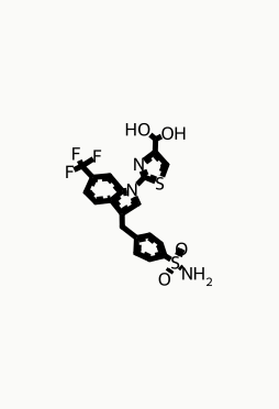 NS(=O)(=O)c1ccc(Cc2cn(-c3nc(C(O)O)cs3)c3cc(C(F)(F)F)ccc23)cc1